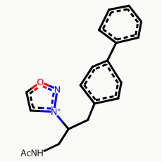 CC(=O)NCC(Cc1ccc(-c2ccccc2)cc1)[n+]1ccon1